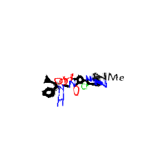 CNc1ncc(Cl)c(-c2ccc3c(c2)C(=O)N(CC(=O)N[C@@H](c2ccccc2)[C@@H](O)C2CC2)C3)n1